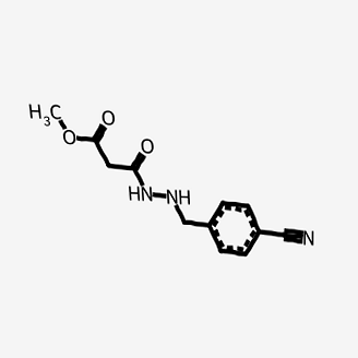 COC(=O)CC(=O)NNCc1ccc(C#N)cc1